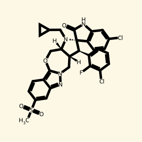 CS(=O)(=O)c1ccc2c3n(nc2c1)C[C@@H]1[C@H](CO3)N(CC2CC2)[C@@]2(C(=O)Nc3cc(Cl)ccc32)[C@H]1c1cccc(Cl)c1F